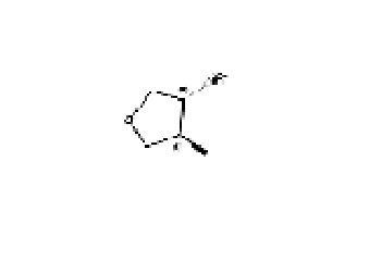 CC(C)[C@H]1COC[C@@H]1C